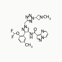 Cc1ccc(OC(F)F)c(-c2nn(Cc3nnn(C4CN(C)C4)n3)cc2NC(=O)c2cnn3cccnc23)c1